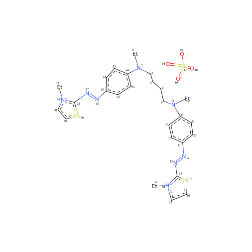 CCN(CCCCN(CC)c1ccc(N=Nc2scc[n+]2CC)cc1)c1ccc(N=Nc2scc[n+]2CC)cc1.O=S(=O)([O-])[O-]